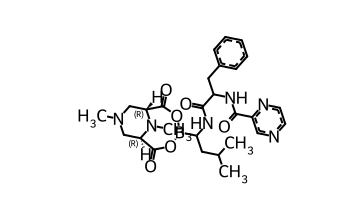 CC(C)CC(NC(=O)C(Cc1ccccc1)NC(=O)c1cnccn1)B1OC(=O)[C@H]2CN(C)C[C@H](C(=O)O1)N2C